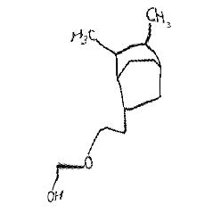 CC1C2CC(CCOCO)C(C2)C1C